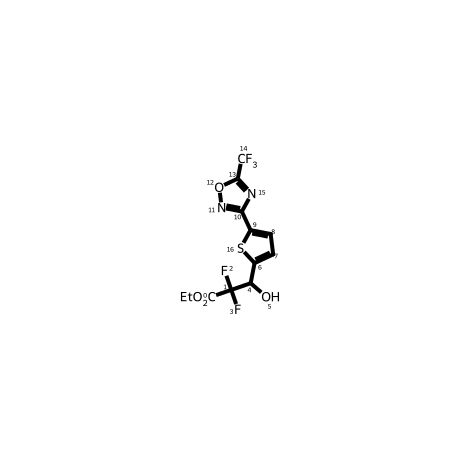 CCOC(=O)C(F)(F)C(O)c1ccc(-c2noc(C(F)(F)F)n2)s1